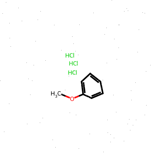 COc1ccccc1.Cl.Cl.Cl